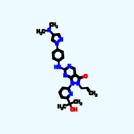 C=CCn1c(=O)c2cnc(Nc3ccc(-n4cc(N(C)C)cn4)cc3)nc2n1-c1cccc(C(C)(C)O)n1